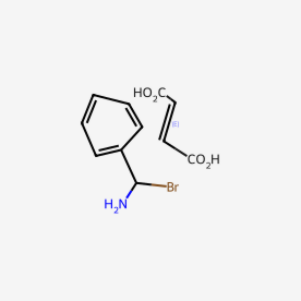 NC(Br)c1ccccc1.O=C(O)/C=C/C(=O)O